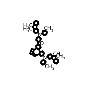 Cc1cccc(N(c2ccc3c(c2)-c2ccccc2C3(C)C)c2ccc3c(c2)C2CC4CC5CC(c6cc7c(cc6-3)oc3cc(N(c6cccc(C)c6)c6ccc8c(c6)-c6ccccc6C8(C)C)ccc37)C45C2)c1